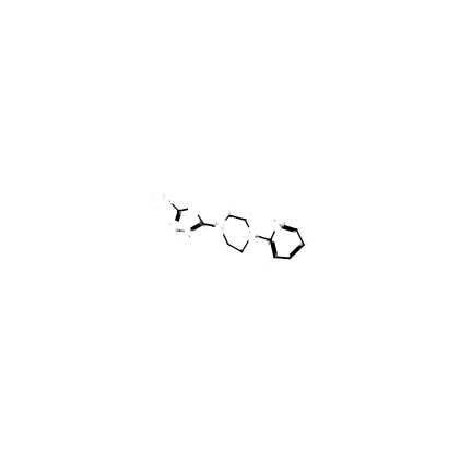 Nc1nnc(N2CCN(c3ccccn3)CC2)s1